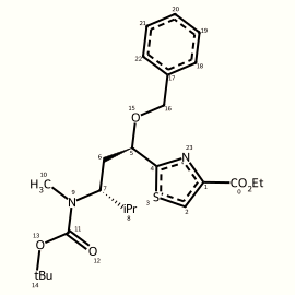 CCOC(=O)c1csc([C@@H](C[C@H](C(C)C)N(C)C(=O)OC(C)(C)C)OCc2ccccc2)n1